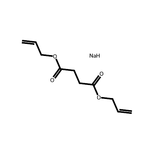 C=CCOC(=O)CCC(=O)OCC=C.[NaH]